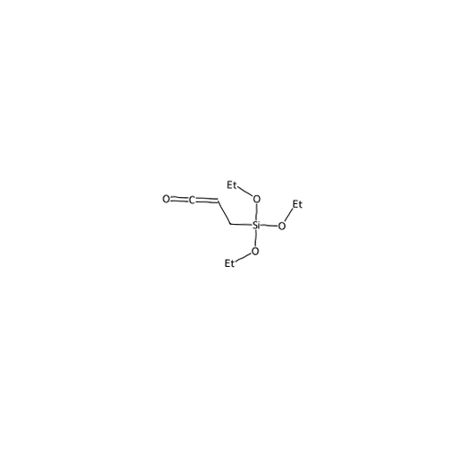 CCO[Si](CC=C=O)(OCC)OCC